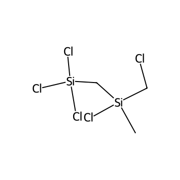 C[Si](Cl)(CCl)C[Si](Cl)(Cl)Cl